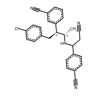 C[C@H](NC(CC#N)c1ccc(C#N)cc1)[C@@H](Cc1ccc(Cl)cc1)c1cccc(C#N)c1